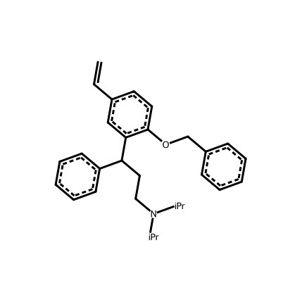 C=Cc1ccc(OCc2ccccc2)c(C(CCN(C(C)C)C(C)C)c2ccccc2)c1